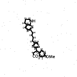 COc1ccc(C(CC(=O)O)c2nc(CCCCc3ccc4c(n3)NCCC4)cs2)cn1